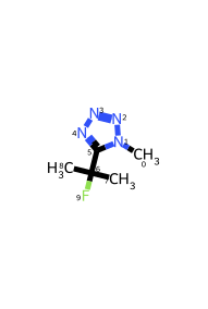 Cn1nnnc1C(C)(C)F